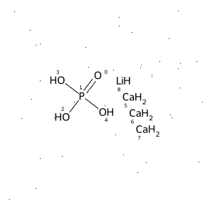 O=P(O)(O)O.[CaH2].[CaH2].[CaH2].[LiH]